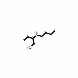 CCCCSC(CC)C[O]